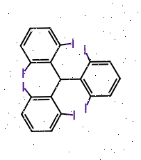 Ic1cccc(I)c1C(c1c(I)cccc1I)c1c(I)cccc1I